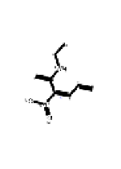 C=C/C=C(\C(=C)NCC)[N+](=O)[O-]